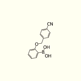 N#Cc1ccc(COc2ccccc2B(O)O)cc1